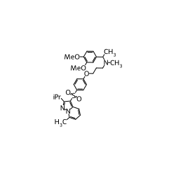 COc1ccc(C(C)N(C)CCCOc2ccc(S(=O)(=O)c3c(C(C)C)nn4c(C)cccc34)cc2)cc1OC